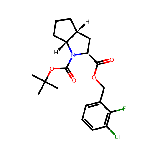 CC(C)(C)OC(=O)N1[C@@H]2CCC[C@@H]2C[C@H]1C(=O)OCc1cccc(Cl)c1F